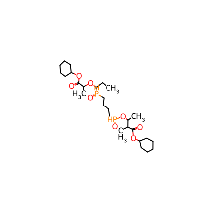 CCC(OC(C)C(=O)OC1CCCCC1)[PH](=O)CCCC[PH](=O)OC(C)C(C)C(=O)OC1CCCCC1